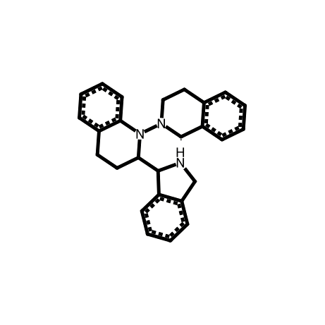 [CH]1c2ccccc2CCN1N1c2ccccc2CCC1C1NCc2ccccc21